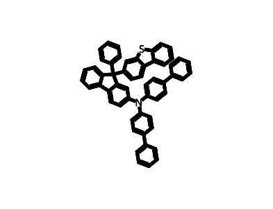 c1ccc(-c2ccc(N(c3ccc(-c4ccccc4)cc3)c3ccc4c(c3)C(c3ccccc3)(c3ccc5c(c3)sc3ccccc35)c3ccccc3-4)cc2)cc1